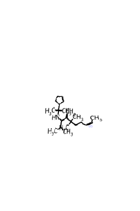 C=C(C(NC(C)(C)C1C=CCC1)C(C)C)C(C)(C)CC/C=C\C